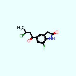 CC(Cl)CC(=O)c1cc(F)c2c(c1)CC(=O)N2